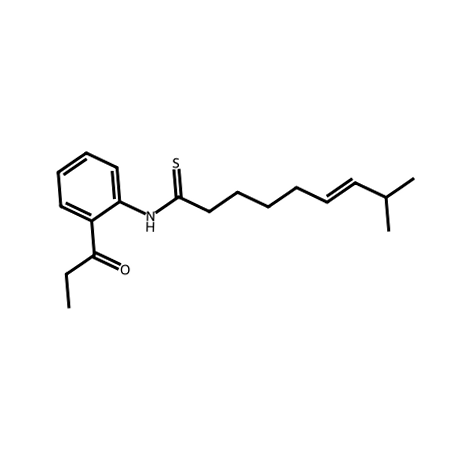 CCC(=O)c1ccccc1NC(=S)CCCC/C=C/C(C)C